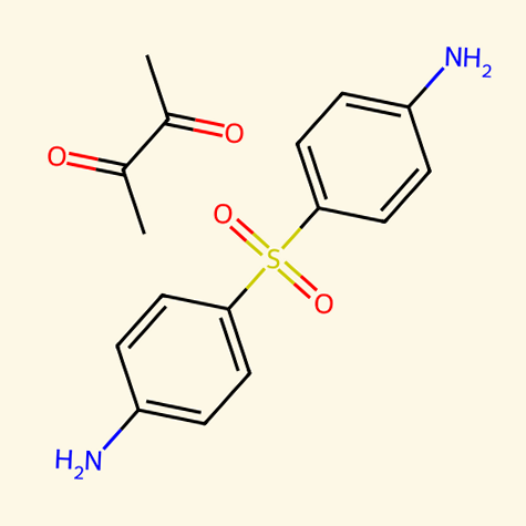 CC(=O)C(C)=O.Nc1ccc(S(=O)(=O)c2ccc(N)cc2)cc1